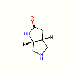 O=C1C[C@@H]2CNC[C@@H]2N1